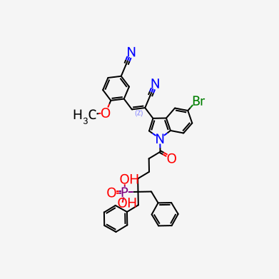 COc1ccc(C#N)cc1/C=C(\C#N)c1cn(C(=O)CCCC(Cc2ccccc2)(Cc2ccccc2)P(=O)(O)O)c2ccc(Br)cc12